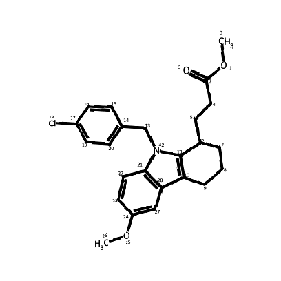 COC(=O)CCC1CCCc2c1n(Cc1ccc(Cl)cc1)c1ccc(OC)cc21